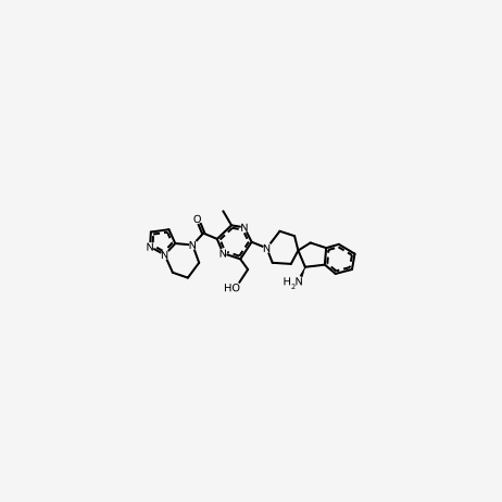 Cc1nc(N2CCC3(CC2)Cc2ccccc2[C@H]3N)c(CO)nc1C(=O)N1CCCn2nccc21